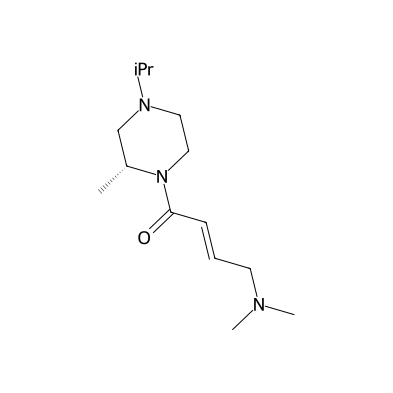 CC(C)N1CCN(C(=O)/C=C/CN(C)C)[C@H](C)C1